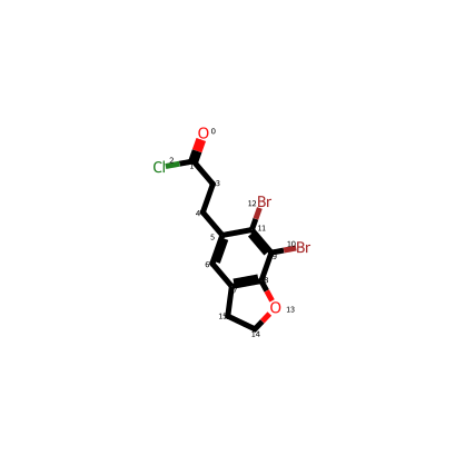 O=C(Cl)CCc1cc2c(c(Br)c1Br)OCC2